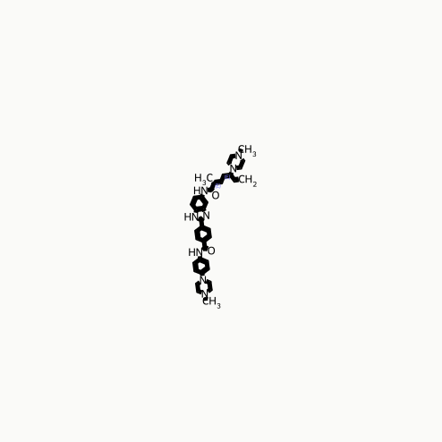 C=C/C(=C\C=C(/C)C(=O)Nc1ccc2[nH]c(-c3ccc(C(=O)Nc4ccc(N5CCN(C)CC5)cc4)cc3)nc2c1)N1CCN(C)CC1